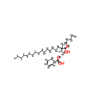 CCCCCCCCCCCCCCCCC(CC)(CCCCCC)C(=O)O.O=C(O)C1C=CC=CC1